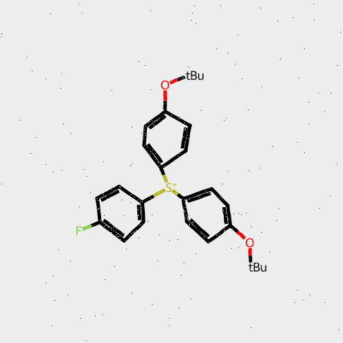 CC(C)(C)Oc1ccc([S+](c2ccc(F)cc2)c2ccc(OC(C)(C)C)cc2)cc1